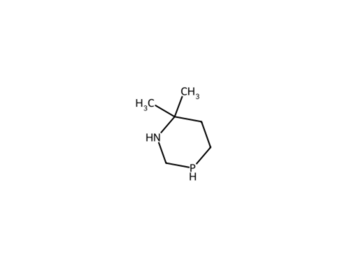 CC1(C)CCPCN1